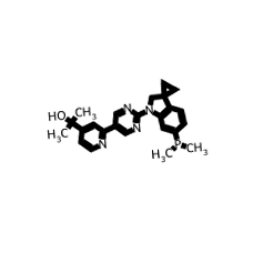 CP(C)c1ccc2c(c1)N(c1ncc(-c3cc(C(C)(C)O)ccn3)cn1)CC21CC1